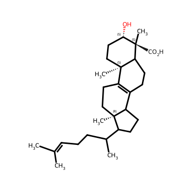 CC(C)=CCCC(C)C1CCC2C3=C(CC[C@@]21C)[C@@]1(C)CC[C@H](O)[C@@](C)(C(=O)O)C1CC3